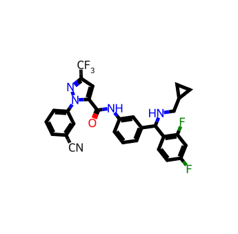 N#Cc1cccc(-n2nc(C(F)(F)F)cc2C(=O)Nc2cccc(C(NCC3CC3)c3ccc(F)cc3F)c2)c1